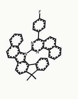 CC1(C)c2ccccc2-c2c1ccc1c3ccc4ccccc4c3n(-c3nc(-c4ccc(F)cc4)c4ccc5ccccc5c4n3)c21